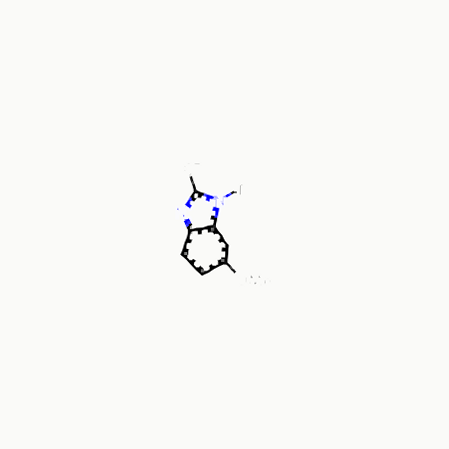 COc1ccc2nc(C(F)(F)F)n(C(C)C)c2c1